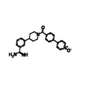 N=C(N)c1cccc(C2CCN(C(=O)c3ccc(-c4cc[n+]([O-])cc4)cc3)CC2)c1